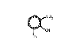 N#Cc1[c]ccc([N+](=O)[O-])c1C#N